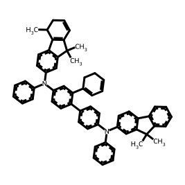 CC1CC=CC2=C1c1ccc(N(c3ccccc3)c3ccc(-c4ccc(N(c5ccccc5)c5ccc6c(c5)C(C)(C)c5ccccc5-6)cc4)c(C4=CC=CCC4)c3)cc1C2(C)C